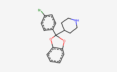 Brc1ccc(C2(C3CCNCC3)Oc3ccccc3O2)cc1